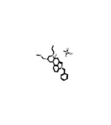 CCCN1C[C@H](CSC)CC2c3cccc4c3c(cn4Cc3ccccc3)C[C@H]21.CS(=O)(=O)O